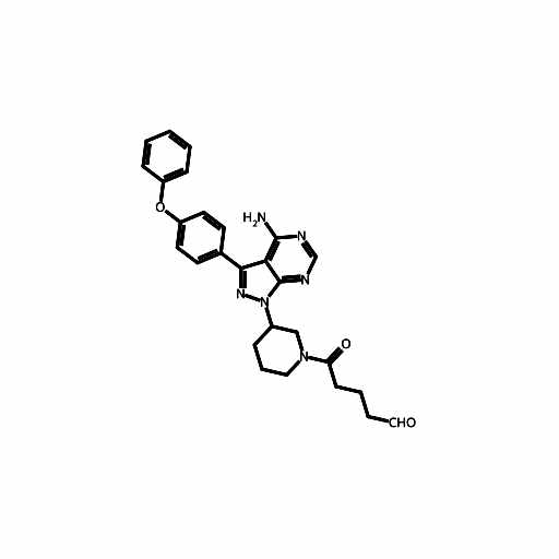 Nc1ncnc2c1c(-c1ccc(Oc3ccccc3)cc1)nn2C1CCCN(C(=O)CCCC=O)C1